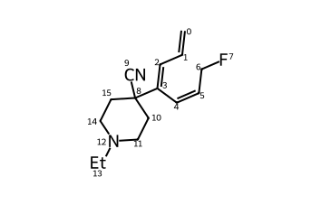 C=C/C=C(\C=C/CF)C1(C#N)CCN(CC)CC1